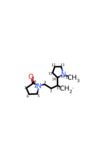 [CH2]C(CCN1CCCC1=O)C1CCCN1C